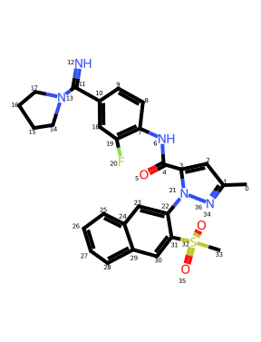 Cc1cc(C(=O)Nc2ccc(C(=N)N3CCCC3)cc2F)n(-c2cc3ccccc3cc2S(C)(=O)=O)n1